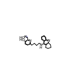 O/N=C\c1nc(CCCCNc2c3c(nc4ccccc24)CCCC3)ccc1O